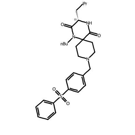 CCCCN1C(=O)[C@H](CC(C)C)NC(=O)C12CCN(Cc1ccc(S(=O)(=O)c3ccccc3)cc1)CC2